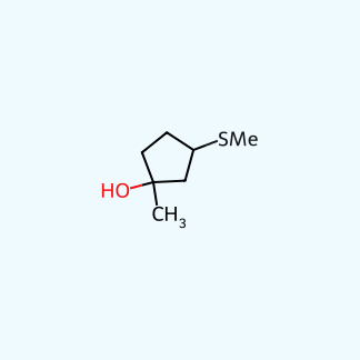 CSC1CCC(C)(O)C1